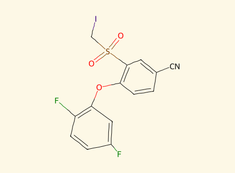 N#Cc1ccc(Oc2cc(F)ccc2F)c(S(=O)(=O)CI)c1